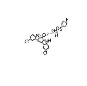 Fc1ccc(SONOCCCOc2c3[nH]c4ccc(Cl)cc4c3cc3c2[nH]c2ccc(Cl)cc23)cc1